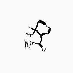 CCCC1(F)C=CC=CC1C(N)=O